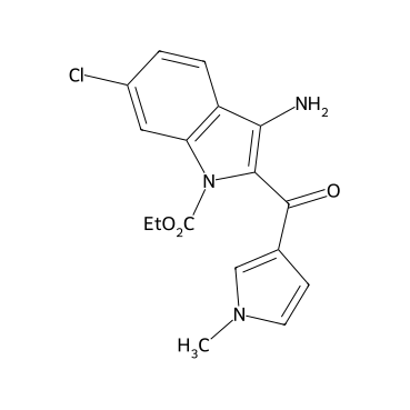 CCOC(=O)n1c(C(=O)c2ccn(C)c2)c(N)c2ccc(Cl)cc21